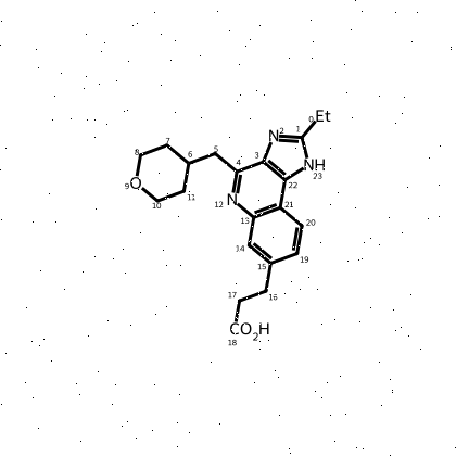 CCc1nc2c(CC3CCOCC3)nc3cc(CCC(=O)O)ccc3c2[nH]1